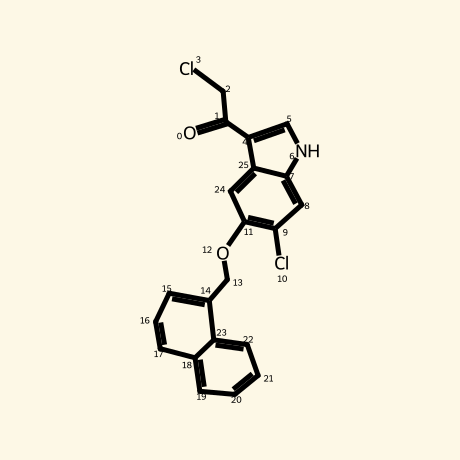 O=C(CCl)c1c[nH]c2cc(Cl)c(OCc3cccc4ccccc34)cc12